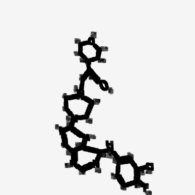 O=C(CN1CCN(c2ncc3ncnc(Nc4ccc(F)c(Cl)c4)c3n2)CC1)N1CCOCC1